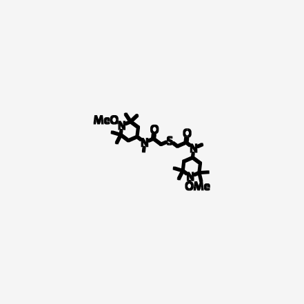 CON1C(C)(C)CC(N(C)C(=O)CSCC(=O)N(C)C2CC(C)(C)N(OC)C(C)(C)C2)CC1(C)C